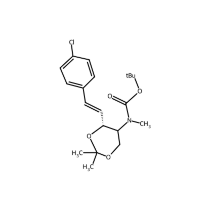 CN(C(=O)OC(C)(C)C)C1COC(C)(C)O[C@@H]1/C=C/c1ccc(Cl)cc1